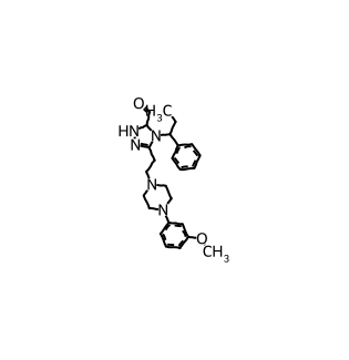 CCC(c1ccccc1)N1C(CCN2CCN(c3cccc(OC)c3)CC2)=NNC1C=O